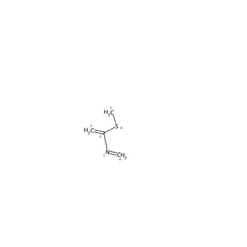 C=NC(=C)SC